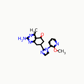 COc1ncccc1-n1ccnc1C1CC(=O)c2c(C)nc(N)nc2C1